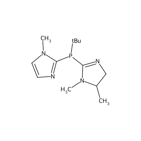 CC1CN=C(P(c2nccn2C)C(C)(C)C)N1C